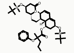 CCCC(C)(Oc1ccccc1)C(=O)O[C@H]1C[C@H](O[Si](C)(C)C(C)(C)C)C=C2C=C[C@H](C)[C@H](CC[C@@H]3C[C@@H](O[Si](C)(C)C(C)(C)C)CC(=O)O3)[C@H]21